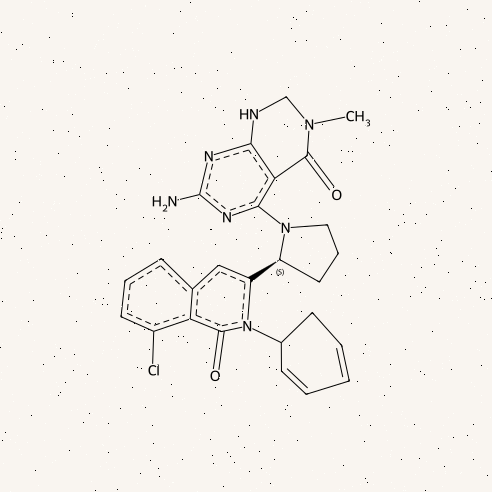 CN1CNc2nc(N)nc(N3CCC[C@H]3c3cc4cccc(Cl)c4c(=O)n3C3C=CC=CC3)c2C1=O